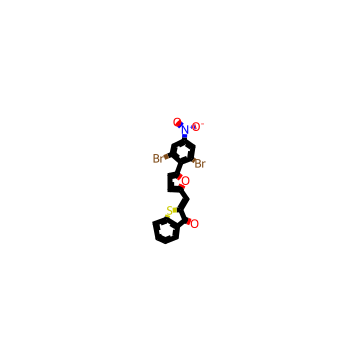 O=C1C(=Cc2ccc(-c3c(Br)cc([N+](=O)[O-])cc3Br)o2)Sc2ccccc21